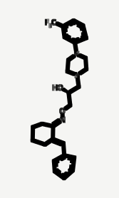 O[C@H](CO/N=C1\CCCC\C1=C/c1ccccc1)CN1CCN(c2cccc(C(F)(F)F)c2)CC1